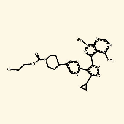 CC(C)n1nc(-c2noc(C3CC3)c2-c2ncc(C3CCN(C(=O)OCCCl)CC3)cn2)c2c(N)ncnc21